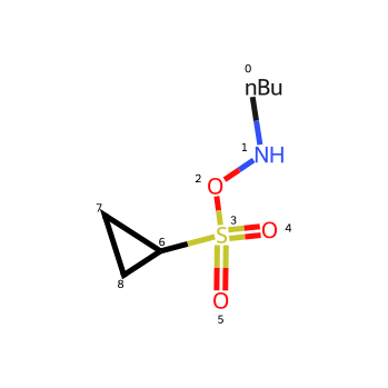 CCCCNOS(=O)(=O)C1CC1